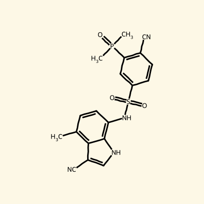 Cc1ccc(NS(=O)(=O)c2ccc(C#N)c(P(C)(C)=O)c2)c2[nH]cc(C#N)c12